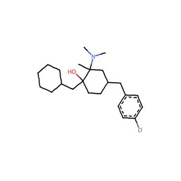 CN(C)C1(C)CC(Cc2ccc(Cl)cc2)CCC1(O)CC1CCCCC1